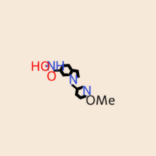 COc1ccc(Cn2ccc3ccc(C(=O)NO)cc32)cn1